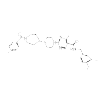 Cc1ccc(C(=O)N2CCC(N3CCN(c4ncc(C(=O)NCc5ccc(F)c(F)c5)c(C)n4)CC3)CC2)cc1